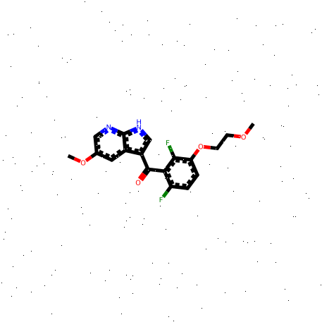 COCCOc1ccc(F)c(C(=O)c2c[nH]c3ncc(OC)cc23)c1F